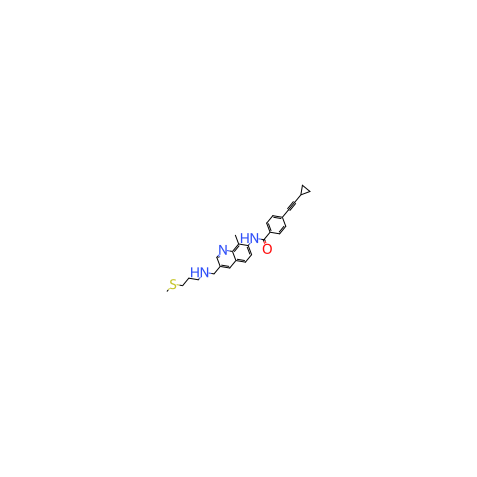 CSCCCNCc1cnc2c(C)c(NC(=O)c3ccc(C#CC4CC4)cc3)ccc2c1